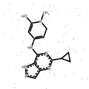 CN1CC=C(Nc2nc(C3CC3)nc3cn[nH]c23)C=C1O